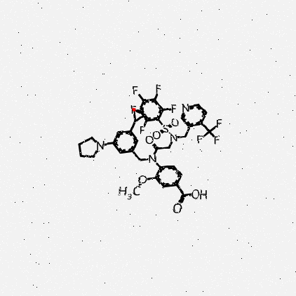 COc1cc(C(=O)O)ccc1N(Cc1cc(C2CC2)cc(N2CCCC2)c1)C(=O)CN(Cc1cnccc1C(F)(F)F)S(=O)(=O)c1c(F)c(F)c(F)c(F)c1F